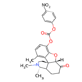 Cc1ccc(OC(=O)Oc2ccc([N+](=O)[O-])cc2)c2c1[C@@]13CCN(C)[C@@H](C)C1CCC(=O)[C@H]3O2